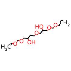 C=COCOCC(O)CCOCC(O)COCOC=C